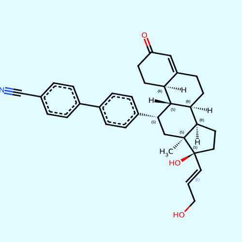 C[C@]12C[C@H](c3ccc(-c4ccc(C#N)cc4)cc3)[C@H]3[C@@H](CCC4=CC(=O)CC[C@@H]43)[C@H]1CC[C@]2(O)/C=C/CO